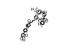 Cc1nc(Nc2ncc(C(=O)Nc3c(C)cccc3Cl)s2)cc(N2CCN(CCCC(=O)N3CC4CC3CN4c3ccc(C4CCC(=O)NC4=O)cc3)CC2)n1